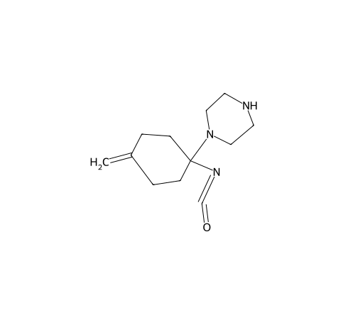 C=C1CCC(N=C=O)(N2CCNCC2)CC1